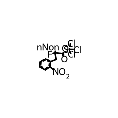 CCCCCCCCCC(F)(Cc1ccccc1[N+](=O)[O-])C(=O)O[Si](Cl)(Cl)Cl